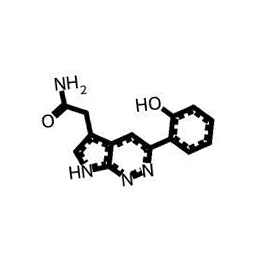 NC(=O)Cc1c[nH]c2nnc(-c3ccccc3O)cc12